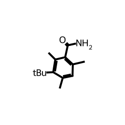 Cc1cc(C)c(C(C)(C)C)c(C)c1C(N)=O